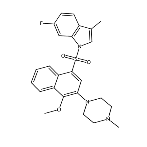 COc1c(N2CCN(C)CC2)cc(S(=O)(=O)n2cc(C)c3ccc(F)cc32)c2ccccc12